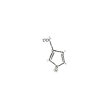 O=C([O-])C1=[CH][BiH][CH]=C1